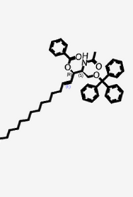 CCCCCCCCCCCCC/C=C/[C@@H](OC(=O)c1ccccc1)[C@H](COC(c1ccccc1)(c1ccccc1)c1ccccc1)NC(C)=O